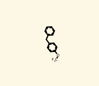 FC(F)(F)Oc1ccc(Cc2cc[c]cc2)cc1